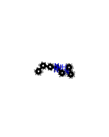 C1=CC(c2cccc(-c3ccccc3)c2)CC=C1c1n[nH]c(-c2cccc(-n3c4ccccc4c4ccccc43)c2)n1